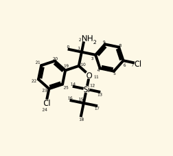 CC(N)(c1ccc(Cl)cc1)C(O[Si](C)(C)C(C)(C)C)c1cccc(Cl)c1